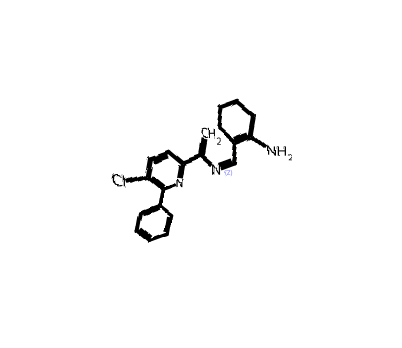 C=C(/N=C\C1=C(N)CCCC1)c1ccc(Cl)c(-c2ccccc2)n1